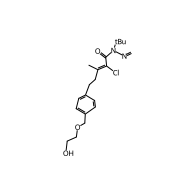 C=NN(C(=O)/C(Cl)=C(\C)CCc1ccc(COCCO)cc1)C(C)(C)C